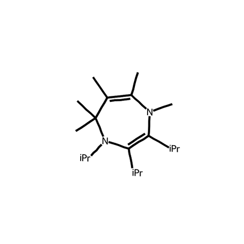 CC1=C(C)C(C)(C)N(C(C)C)C(C(C)C)=C(C(C)C)N1C